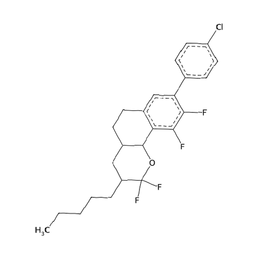 CCCCCC1CC2CCc3cc(-c4ccc(Cl)cc4)c(F)c(F)c3C2OC1(F)F